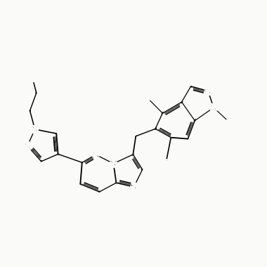 Cn1ncc2c(F)c(Cc3cnc4ccc(-c5cnn(CCO)c5)nn34)c(F)cc21